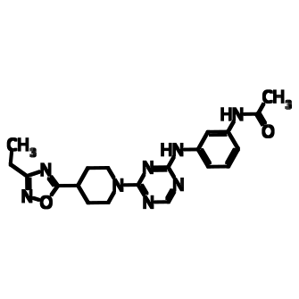 CCc1noc(C2CCN(c3ncnc(Nc4cccc(NC(C)=O)c4)n3)CC2)n1